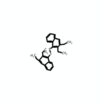 CCc1cc2ccccc2c(SSc2c(CC)c(CC)cc3ccccc23)c1CC